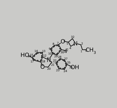 CCCN1CC(Oc2ccc(N3c4ccc(O)cc4OC[C@H]3c3ccc(O)cc3)cc2F)C1